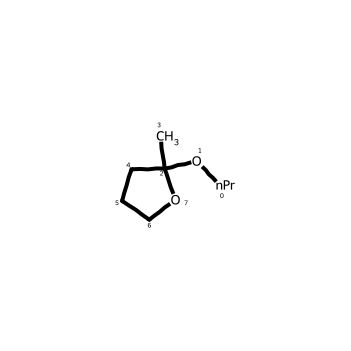 CCCOC1(C)CCCO1